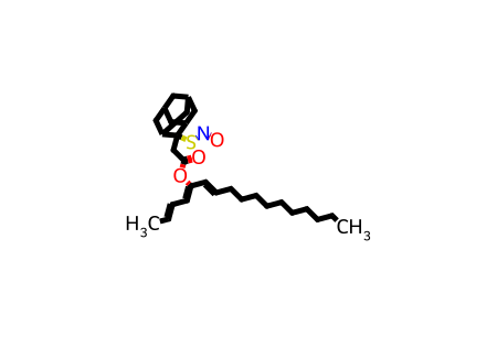 C/C=C/C=C(/C=C/CCCCCCCCCC)OC(=O)CC1(SN=O)C2CC3CC(C2)CC1C3